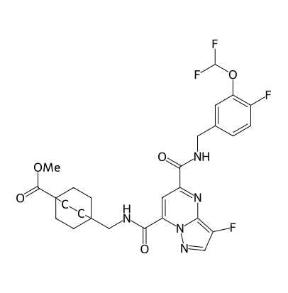 COC(=O)C12CCC(CNC(=O)c3cc(C(=O)NCc4ccc(F)c(OC(F)F)c4)nc4c(F)cnn34)(CC1)CC2